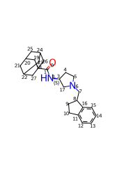 O=C(N[C@H]1CCN(CC2CCc3ccccc32)C1)C12CC3CC(CC(C3)C1)C2